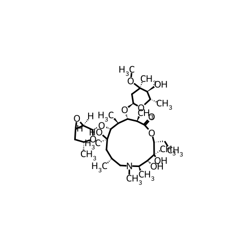 CC[C@H]1OC(=O)[C@H](C)[C@@H](O[C@H]2C[C@@](C)(OC)[C@@H](O)[C@H](C)O2)[C@H](C)[C@@H](O[C@@H]2O[C@H](C)C[C@H]3O[C@@H]23)[C@](C)(O)C[C@@H](C)CN(C)[C@H](C)[C@@H](O)[C@]1(C)O